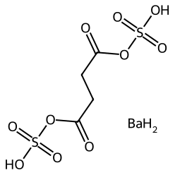 O=C(CCC(=O)OS(=O)(=O)O)OS(=O)(=O)O.[BaH2]